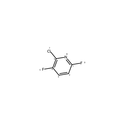 Fc1ccc(F)c(Cl)n1